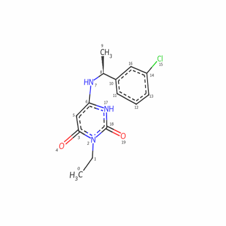 CCn1c(=O)cc(N[C@@H](C)c2cccc(Cl)c2)[nH]c1=O